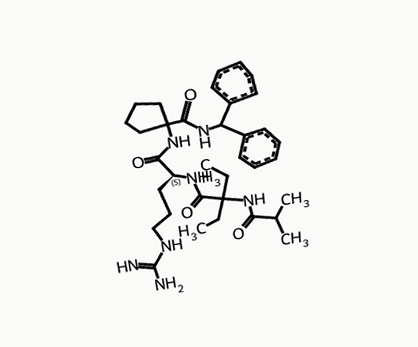 CCC(CC)(NC(=O)C(C)C)C(=O)N[C@@H](CCCNC(=N)N)C(=O)NC1(C(=O)NC(c2ccccc2)c2ccccc2)CCCC1